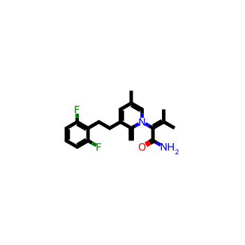 C=C1C(CCc2c(F)cccc2F)=CC(C)=CN1C(C(N)=O)=C(C)C